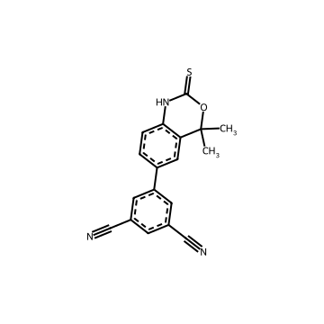 CC1(C)OC(=S)Nc2ccc(-c3cc(C#N)cc(C#N)c3)cc21